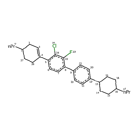 CCCC1CC=C(c2ccc(-c3ccc(C4CCC(CCC)CC4)cc3)c(F)c2Cl)CC1